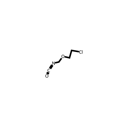 O=C=NCOCCCl